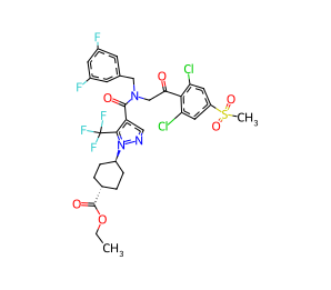 CCOC(=O)[C@H]1CC[C@H](n2ncc(C(=O)N(CC(=O)c3c(Cl)cc(S(C)(=O)=O)cc3Cl)Cc3cc(F)cc(F)c3)c2C(F)(F)F)CC1